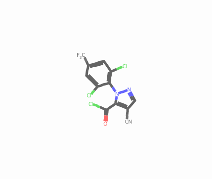 N#Cc1cnn(-c2c(Cl)cc(C(F)(F)F)cc2Cl)c1C(=O)Cl